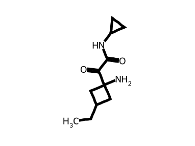 CCC1CC(N)(C(=O)C(=O)NC2CC2)C1